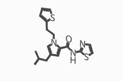 CC(C)Cc1cc(C(=O)Nc2nccs2)n(CCc2cccs2)c1